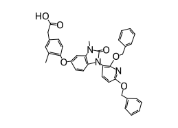 Cc1cc(CC(=O)O)ccc1Oc1ccc2c(c1)n(C)c(=O)n2-c1ccc(OCc2ccccc2)nc1OCc1ccccc1